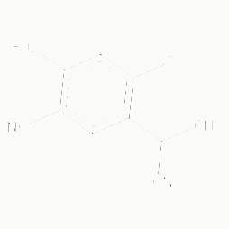 CC(C#N)c1cc(C#N)c(C(F)(F)F)cc1F